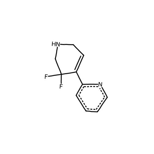 FC1(F)CNCC=C1c1ccccn1